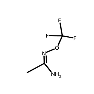 C/C(N)=N/OC(F)(F)F